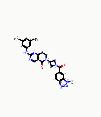 Cc1cc(C)cc(Nc2ncc3c(n2)CCN(C2CN(C(=O)c4ccc5c(c4)N(C)NN5)C2)C3=O)c1